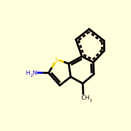 CC1C=c2ccccc2=C2SC(N)=CC21